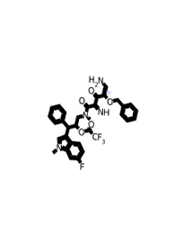 CN(CC(OC(=O)C(F)(F)F)C(c1ccccc1)c1cn(C)c2cc(F)ccc12)C(=O)C(=N)C(=O)/C(=C\N)OCc1ccccc1